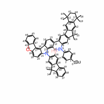 CC(C)(C)c1ccc(Nc2cc3c(cc2-c2ccc4c5c6c(ccc5n5c4c2Bc2cc4c(cc2-5)C(C)(C)c2ccccc2-4)oc2ccccc26)-c2cc4c(cc2C3(C)C)C(C)(C)CCC4(C)C)cc1